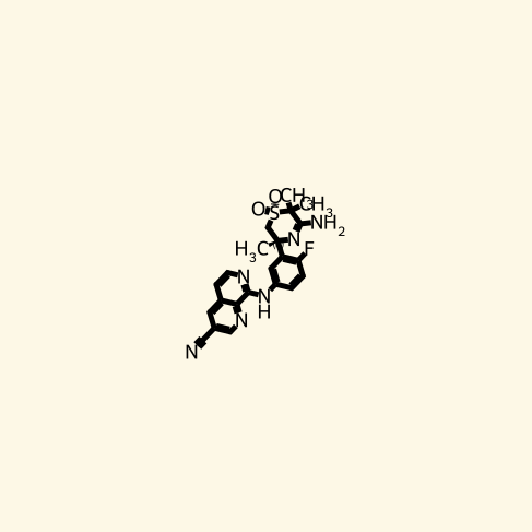 CC1(C)C(N)=N[C@](C)(c2cc(Nc3nccc4cc(C#N)cnc34)ccc2F)CS1(=O)=O